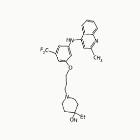 CCC1(O)CCN(CCCOc2cc(Nc3cc(C)nc4ccccc34)cc(C(F)(F)F)c2)CC1